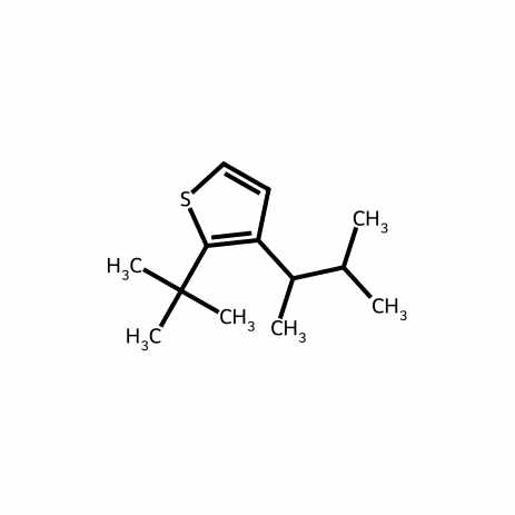 CC(C)C(C)c1ccsc1C(C)(C)C